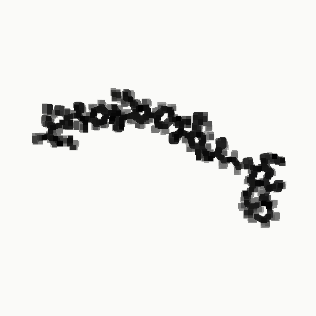 COc1cc2c(cc1OCCCC(=O)Nc1cc(C(=O)Nc3ccc(-c4cc(C(=O)Nc5ccc(NC(=O)C(C)NC(=O)C(N)C(C)C)cc5)n(C)c4)cc3)n(C)c1)N=C[C@@H]1CCCCN1C2=O